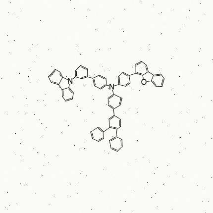 c1ccc(-c2ccc(-c3ccc(N(c4ccc(-c5cccc(-n6c7ccccc7c7ccccc76)c5)cc4)c4ccc(-c5cccc6c5oc5ccccc56)cc4)cc3)cc2-c2ccccc2)cc1